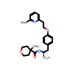 CNc1cccc(CCOc2ccc(C[C@H](NC(=O)C3(OC)CCOCC3)C(=O)O)cc2)n1